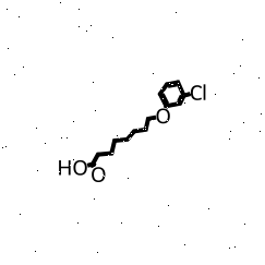 O=C(O)CCCCCCCOc1cccc(Cl)c1